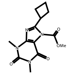 COC(=O)n1c(C2CCC2)nc2c1c(=O)n(C)c(=O)n2C